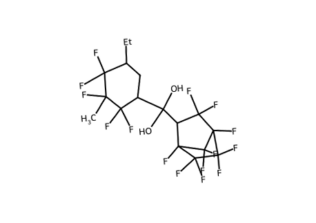 CCC1CC(C(O)(O)C2C(F)(F)C3(F)C(F)(F)C(F)(F)C2(F)C3(F)F)C(F)(F)C(C)(F)C1(F)F